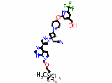 C[Si](C)(C)CCOCn1ccc2c(-c3cnn([C@]4(CC#N)C[C@@H](N5CCC(Oc6cc(CO)cc(C(F)(F)F)n6)CC5)C4)c3)ncnc21